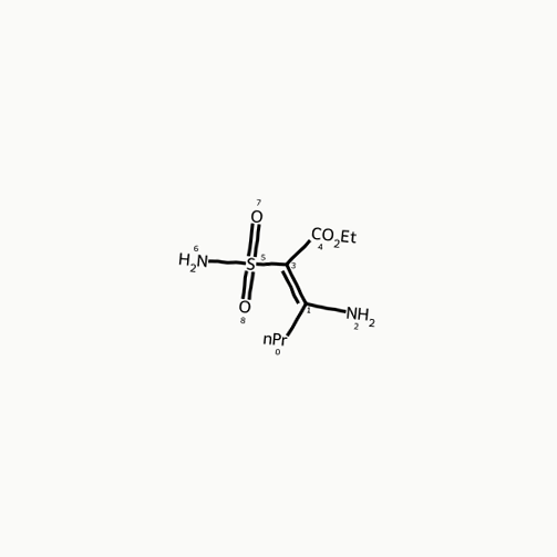 CCC/C(N)=C(/C(=O)OCC)S(N)(=O)=O